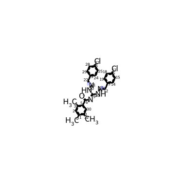 Cc1cc(C)c(C(=O)N=C(N/N=C/c2ccc(Cl)cc2)N/N=C/c2ccc(Cl)cc2)cc1C